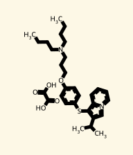 CCCCN(CCCC)CCCOc1ccc(Sc2c(C(C)C)cn3ccccc23)cc1.O=C(O)C(=O)O